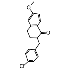 COc1ccc2c(c1)CCC(Cc1ccc(Cl)cc1)C2=O